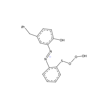 CC(C)Cc1ccc(O)c(/N=N/c2ccccc2SOOO)c1